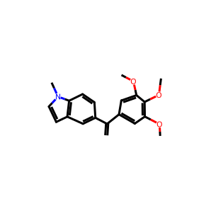 C=C(c1cc(OC)c(OC)c(OC)c1)c1ccc2c(ccn2C)c1